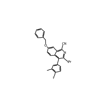 Cc1cc(-c2c(C(C)C)nc(C#N)c3cc(OCc4ccccc4)ccc23)ccc1F